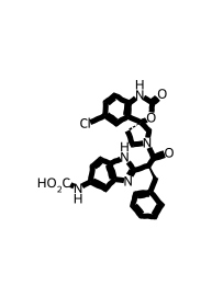 O=C(O)Nc1ccc2[nH]c([C@H](Cc3ccccc3)C(=O)N3CC[C@@]4(C3)OC(=O)Nc3ccc(Cl)cc34)nc2c1